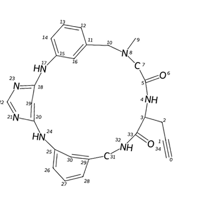 C#CCC1NC(=O)CN(C)Cc2cccc(c2)Nc2cc(ncn2)Nc2cccc(c2)CNC1=O